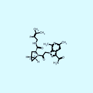 CC(C)=C(F)CNC(=O)[C@@H]1C[C@H]2C[C@H]2N1C(=O)Cn1nc(C(N)=O)c2cc(C)nc(C)c21